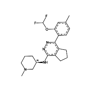 Cc1ccc(-c2nnc(N[C@@H]3CCCN(C)C3)c3c2CCC3)c(OC(F)F)c1